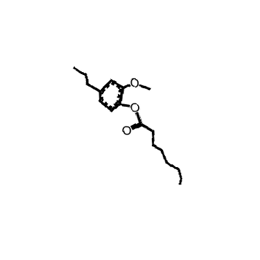 CCCCCCC(=O)Oc1ccc(CCC)cc1OC